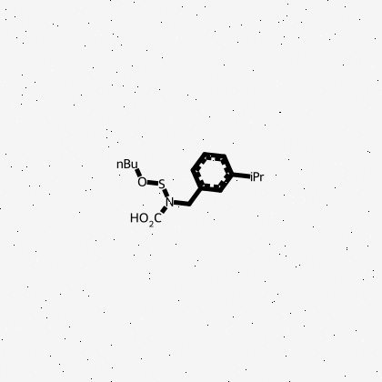 CCCCOSN(Cc1cccc(C(C)C)c1)C(=O)O